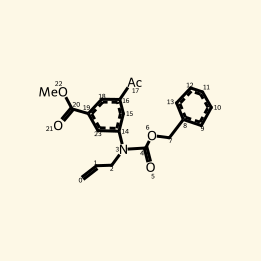 C=CCN(C(=O)OCc1ccccc1)c1cc(C(C)=O)cc(C(=O)OC)c1